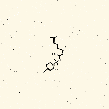 CC(C)=CCC[C@H](C)CC(O)OC(C)(C)[C@H]1CC=C(C)CC1